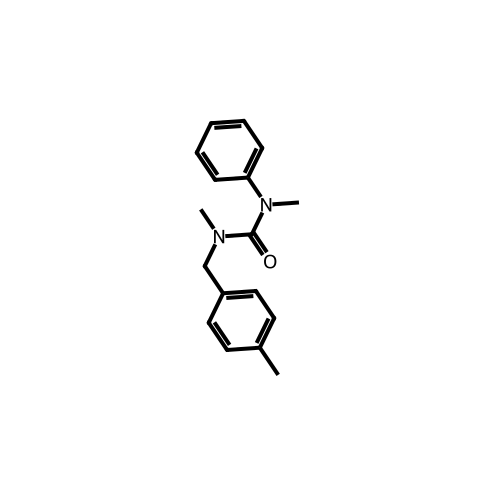 Cc1ccc(CN(C)C(=O)N(C)c2ccccc2)cc1